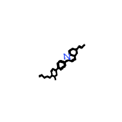 CCCCCC1CCC(c2ccc(-c3ccc4c(n3)CCC(CCC)C4)cc2)CC1C